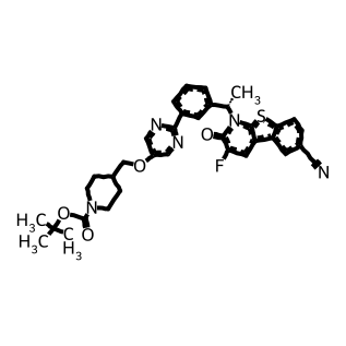 C[C@@H](c1cccc(-c2ncc(OCC3CCN(C(=O)OC(C)(C)C)CC3)cn2)c1)n1c(=O)c(F)cc2c3cc(C#N)ccc3sc21